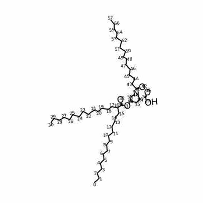 CCCCCCCCCCCCCCCCC(CCCCCCCCCCCCCC)C(=O)O[C@@H]1C[C@@H](C(=O)O)N(C(=O)CCCCCCCCCCCCCCC)C1